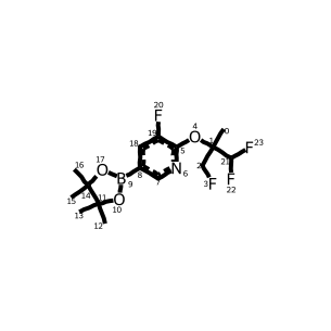 CC(CF)(Oc1ncc(B2OC(C)(C)C(C)(C)O2)cc1F)C(F)F